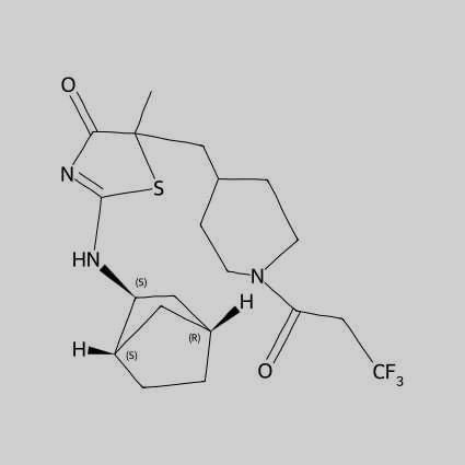 CC1(CC2CCN(C(=O)CC(F)(F)F)CC2)SC(N[C@H]2C[C@@H]3CC[C@H]2C3)=NC1=O